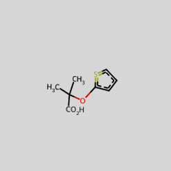 CC(C)(Oc1cccs1)C(=O)O